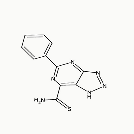 NC(=S)c1nc(-c2ccccc2)nc2nn[nH]c12